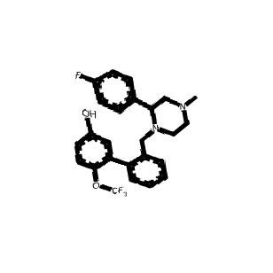 CN1CCN(Cc2ccccc2-c2cc(O)ccc2OC(F)(F)F)C(c2ccc(F)cc2)C1